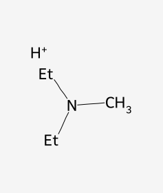 CCN(C)CC.[H+]